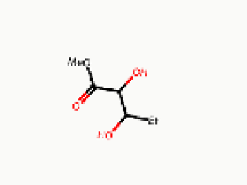 CCC(O)C(O)C(=O)OC